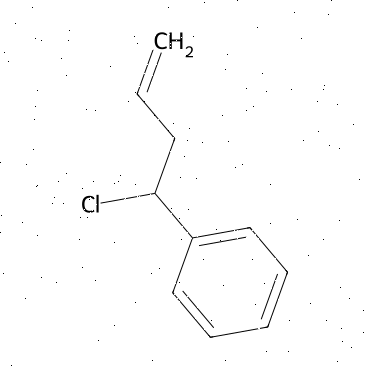 C=CCC(Cl)c1ccccc1